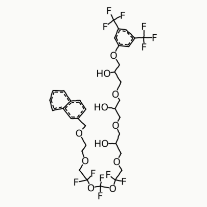 OC(COCC(O)COCC(F)(F)OC(F)(F)OC(F)(F)COCCOCc1ccc2ccccc2c1)COCC(O)COc1cc(C(F)(F)F)cc(C(F)(F)F)c1